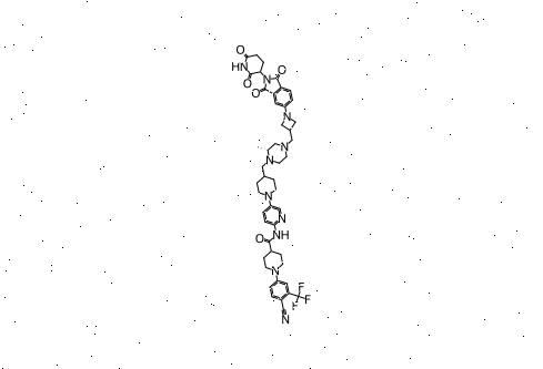 C[C@@H]1CN(CC2CN(c3ccc4c(c3)C(=O)N(C3CCC(=O)NC3=O)C4=O)C2)CCN1CC1CCN(c2ccc(NC(=O)C3CCN(c4ccc(C#N)c(C(F)(F)F)c4)CC3)nc2)CC1